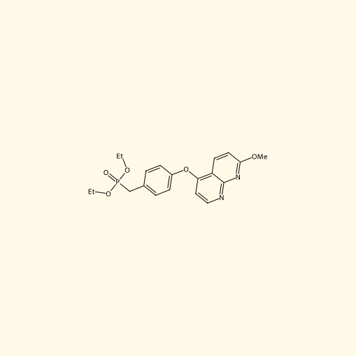 CCOP(=O)(Cc1ccc(Oc2ccnc3nc(OC)ccc23)cc1)OCC